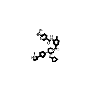 Cc1ccc(C(=O)N2CC[C@H](c3ccc(-c4ccnn4C)cc3)[C@H](CC3CCCC3)C2)cc1NC(=O)c1ccc(NC(C)C)nc1